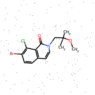 COC(C)(C)Cn1ccc2ccc(Br)c(Cl)c2c1=O